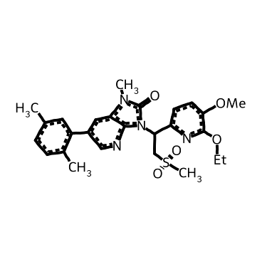 CCOc1nc(C(CS(C)(=O)=O)n2c(=O)n(C)c3cc(-c4cc(C)ccc4C)cnc32)ccc1OC